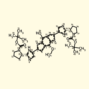 COc1c2cc(-c3cnc([C@@H]4CCCN4C(=O)OC(C)(C)C)[nH]3)sc2c(O)c2cc(-c3cnc([C@@H]4CCCN4C(=O)OC(C)(C)C)[nH]3)sc12